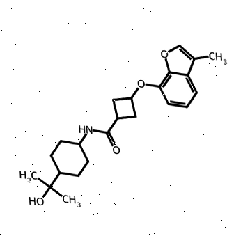 Cc1coc2c(OC3CC(C(=O)NC4CCC(C(C)(C)O)CC4)C3)cccc12